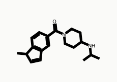 CC(C)NC1CCN(C(=O)c2ccc3c(c2)C=CC3C)CC1